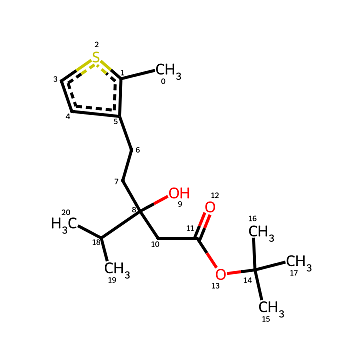 Cc1sccc1CCC(O)(CC(=O)OC(C)(C)C)C(C)C